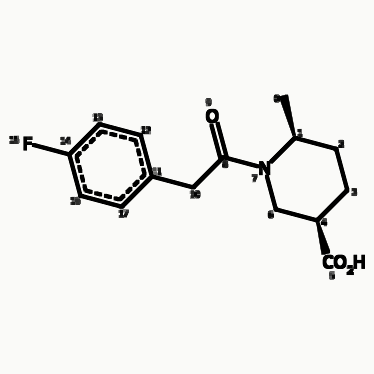 C[C@H]1CC[C@@H](C(=O)O)CN1C(=O)Cc1ccc(F)cc1